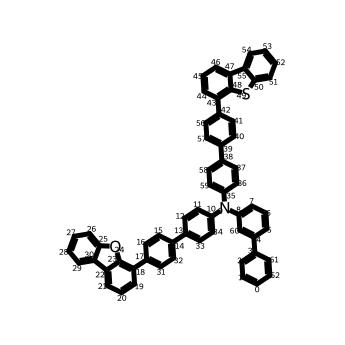 c1ccc(-c2cccc(N(c3ccc(-c4ccc(-c5cccc6c5oc5ccccc56)cc4)cc3)c3ccc(-c4ccc(-c5cccc6c5sc5ccccc56)cc4)cc3)c2)cc1